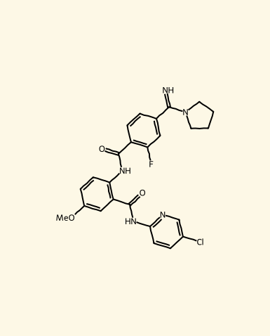 COc1ccc(NC(=O)c2ccc(C(=N)N3CCCC3)cc2F)c(C(=O)Nc2ccc(Cl)cn2)c1